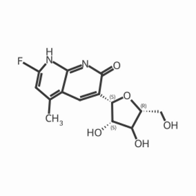 Cc1cc(F)[nH]c2nc(=O)c([C@@H]3O[C@H](CO)C(O)[C@@H]3O)cc1-2